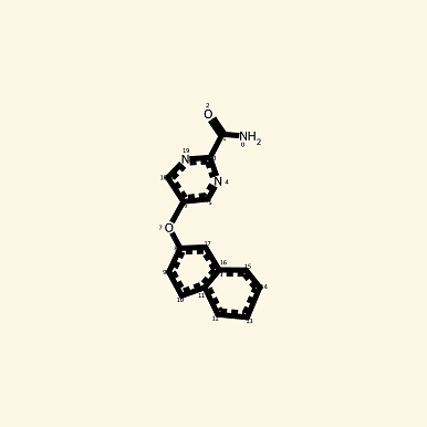 NC(=O)c1ncc(Oc2ccc3ccccc3c2)cn1